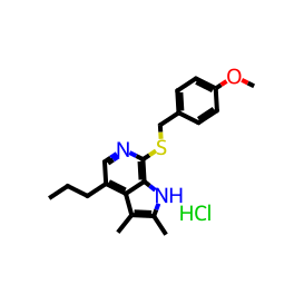 CCCc1cnc(SCc2ccc(OC)cc2)c2[nH]c(C)c(C)c12.Cl